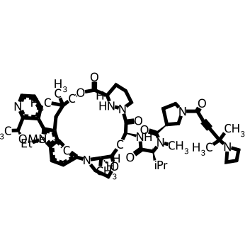 CCn1c(-c2cccnc2[C@H](C)OC)c2c3cc(ccc31)N1CCO[C@@H](C[C@H](NC(=O)[C@H](C(C)C)N(C)C(=O)[C@H]3CCN(C(=O)C#CC(C)(C)N4CCC4)C3)C(=O)N3CCC[C@H](N3)C(=O)OCC(C)(C)C2)[C@H]1C